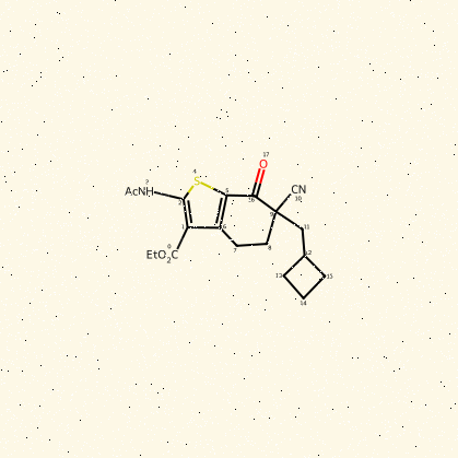 CCOC(=O)c1c(NC(C)=O)sc2c1CCC(C#N)(CC1CCC1)C2=O